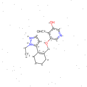 O=Cc1c(O)cncc1OCC1=C(c2ccnn2CC(F)(F)F)CCCC1